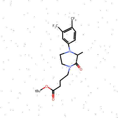 CC1C(=O)N(CCCC(=O)OC(C)(C)C)CCN1c1ccc(C(F)(F)F)c(C(F)(F)F)c1